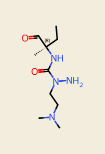 CC[C@](C)(C=O)NC(=O)N(N)CCN(C)C